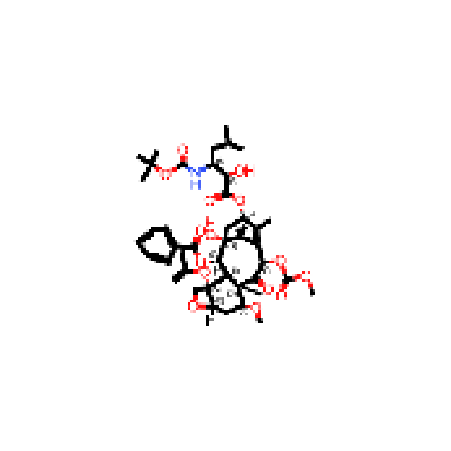 C=C(C)O[C@@]12CO[C@@H]1C[C@H](OC)[C@@]1(C)C(=O)[C@H](OC(=O)OC)C3=C(C)[C@@H](OC(=O)[C@H](O)[C@H](CC(C)C)NC(=O)OC(C)(C)C)C[C@@](O)([C@@H](OC(=O)c4ccccc4)[C@H]21)C3(C)C